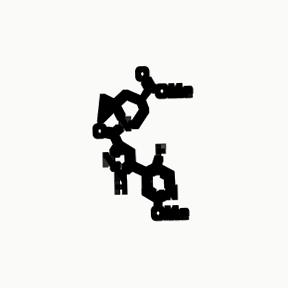 COC(=O)[C@H]1CCN(C(=O)c2cc(-c3cc(OC)ncc3F)[nH]n2)C2(CC2)C1